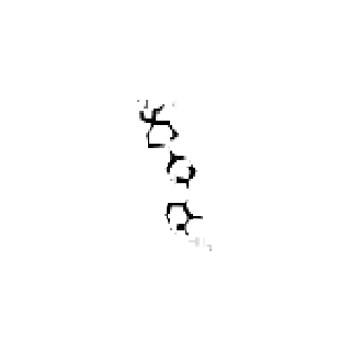 NCC1(CO)CCN(c2cnc(Sc3ccnc(N)c3Cl)cn2)CC1